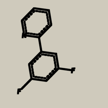 Fc1cc(F)cc(-c2ccccn2)c1